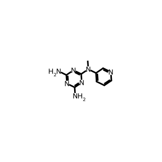 CN(c1cccnc1)c1nc(N)nc(N)n1